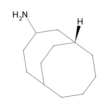 NC1CCC2CCCC[C@H](CC2)C1